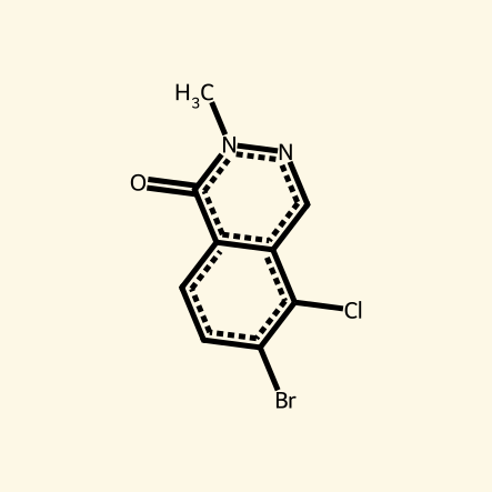 Cn1ncc2c(Cl)c(Br)ccc2c1=O